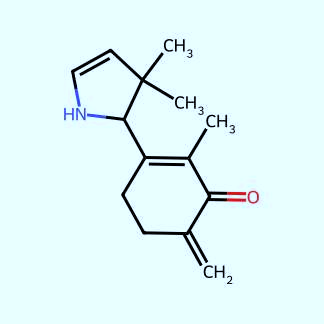 C=C1CCC(C2NC=CC2(C)C)=C(C)C1=O